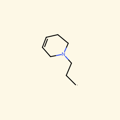 [CH2]CCN1CC=CCC1